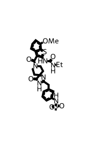 CCNC(=O)Nc1sc2c(OC)cccc2c1C(=O)N1CCC2(CC1)N=C(Cc1cccc(NS(C)(=O)=O)c1)NC2=O